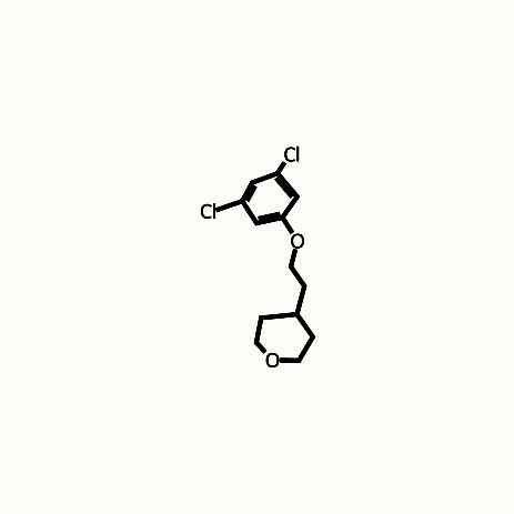 Clc1cc(Cl)cc(OCCC2CCOCC2)c1